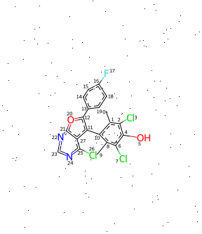 Cc1c(Cl)c(O)c(Cl)c(C)c1-c1c(-c2ccc(F)cc2)oc2ncnc(Cl)c12